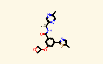 Cc1cnc([C@@H](C)NC(=O)c2cc(OC3COC3)cc(-c3ncc(C)s3)c2)cn1